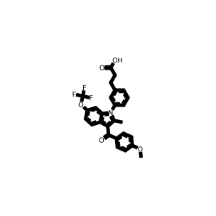 COc1ccc(C(=O)c2c(C)n(-c3cccc(CCC(=O)O)c3)c3cc(OC(F)(F)F)ccc23)cc1